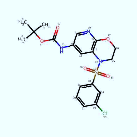 CC(C)(C)OC(=O)Nc1cnc2c(c1)N(S(=O)(=O)c1cccc(Cl)c1)CCO2